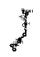 O=C(CCOCCc1ccc(CCN2C[C@H]3C[C@@H](OC(=O)Nc4ccccc4-c4ccccc4)C[C@H]3C2)cc1)NCCNC[C@H](O)c1ccc(O)c2[nH]c(=O)ccc12